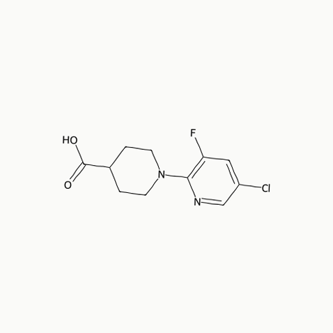 O=C(O)C1CCN(c2ncc(Cl)cc2F)CC1